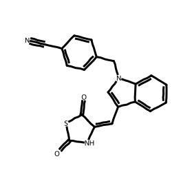 N#Cc1ccc(Cn2cc(C=C3NC(=O)SC3=O)c3ccccc32)cc1